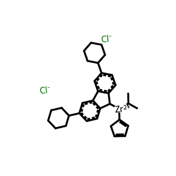 C[C](C)=[Zr+2]([C]1=CC=CC1)[CH]1c2ccc(C3CCCCC3)cc2-c2cc(C3CCCCC3)ccc21.[Cl-].[Cl-]